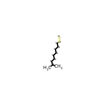 CC(C)CCCCCCCS[S]